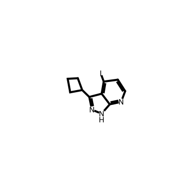 Ic1ccnc2[nH]nc(C3CCC3)c12